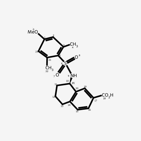 COc1cc(C)c(S(=O)(=O)N[C@@H]2CCCc3ccc(C(=O)O)cc32)c(C)c1